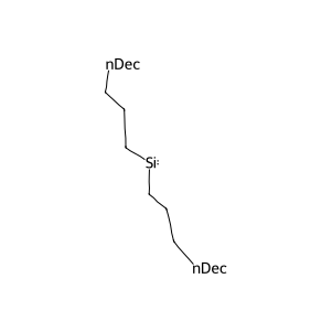 CCCCCCCCCCCCC[Si]CCCCCCCCCCCCC